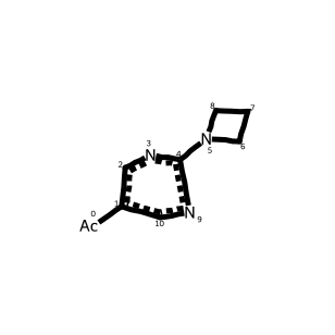 CC(=O)c1cnc(N2CCC2)nc1